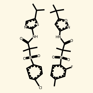 CC(C)c1cnc(NC(=O)C(C)(C)S(=O)(=O)c2ccc(Cl)cc2)s1.Cc1ccc(S(=O)(=O)C(C)(C)C(=O)Nc2cc(C(C)(C)C)on2)c(F)c1